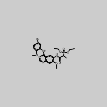 CCOP(=O)(OCC)C(F)C(=O)Nc1cc2c(Nc3cc(Br)ccc3OC)ncnc2cc1OC